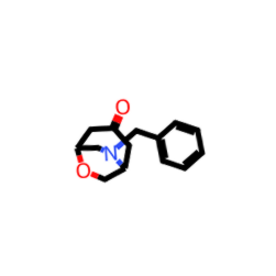 O=C1CC2CN(Cc3ccccc3)C(CO2)C1